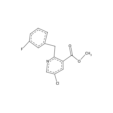 COC(=O)c1cc(Cl)cnc1Cc1cccc(F)c1